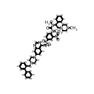 CN1CCN(CC(c2ccccc2)N(C)C(=O)N(C)c2ccc(S(=O)(=O)Nc3ncnc4cc(N5CCN(Cc6ccccc6-c6ccccc6)CC5)ccc34)cc2[N+](=O)[O-])CC1